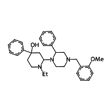 CCN1CCC(O)(c2ccccc2)CC1N1CCN(Cc2ccccc2OC)CC1c1ccccc1